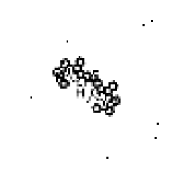 CC1(C)c2cc3c(cc2-c2c1cc(-c1cccc4c1oc1c(-c5ccccc5)cccc14)c1ccccc21)sc1cc2c(cc13)C(C)(C)c1cc(-c3cccc4c3oc3c(-c5ccccc5)cccc34)c3ccccc3c1-2